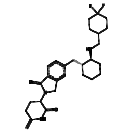 C=C1CCC(N2Cc3cc(C[C@H]4CCCC[C@@H]4NCC4CCC(F)(F)CC4)ccc3C2=O)C(=O)N1